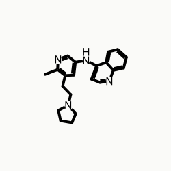 Cc1ncc(Nc2ccnc3ccccc23)cc1CCN1CCCC1